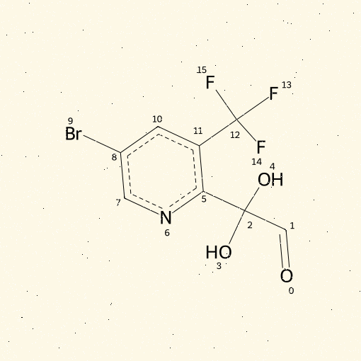 O=CC(O)(O)c1ncc(Br)cc1C(F)(F)F